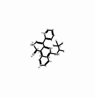 CC(Nc1nc2c(-c3ccccn3)c[nH]c(=O)c2c2cnccc12)C(C)(C)C